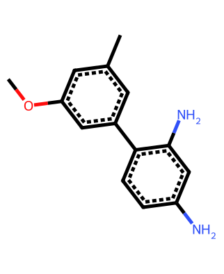 COc1cc(C)cc(-c2ccc(N)cc2N)c1